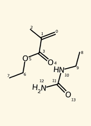 C=C(C)C(=O)OCC.CCNC(N)=O